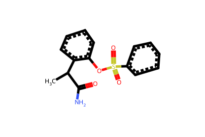 CC(C(N)=O)c1ccccc1OS(=O)(=O)c1ccccc1